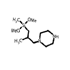 CO[Si](C)(CC(C)CN1CCNCC1)OC